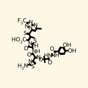 Cc1cc(C(=S)C2=C(C(=O)O)N3C(=O)C(NC(=O)C(=NOC(C)(C)C(=O)NNC(=O)c4ccc(O)c(O)c4)c4csc(N)n4)[C@@H]3SC2)n2nc(C(F)(F)F)nc2n1